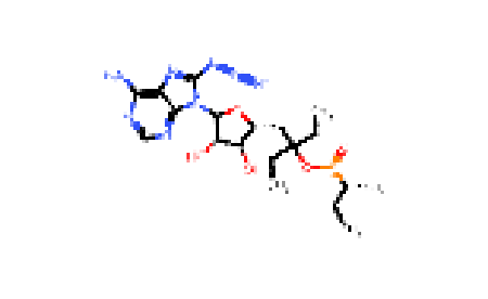 CC[C@@H](C)[PH](=O)OC(CC)(CC)C[C@H]1OC(n2c(N=[N+]=[N-])nc3c(N)ncnc32)[C@H](O)[C@@H]1O